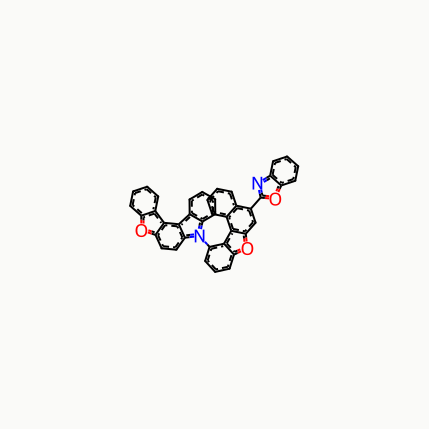 c1ccc2oc(-c3cc4oc5cccc(-n6c7ccccc7c7c8c(ccc76)oc6ccccc68)c5c4c4ccccc34)nc2c1